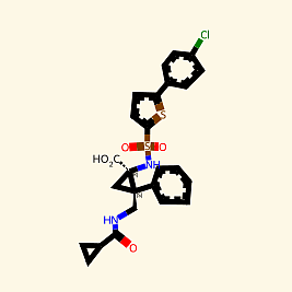 O=C(NC[C@@]1(c2ccccc2)C[C@]1(NS(=O)(=O)c1ccc(-c2ccc(Cl)cc2)s1)C(=O)O)C1CC1